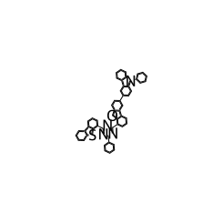 c1ccc(-c2nc(-c3cccc4c3oc3ccc(-c5ccc6c(c5)c5ccccc5n6-c5ccccc5)cc34)nc(-c3cccc4c3sc3ccccc34)n2)cc1